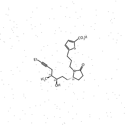 CCC#CC[C@H](C)[C@H](O)CC[C@H]1CCC(=O)N1CCCc1ccc(C(=O)O)s1